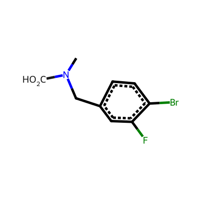 CN(Cc1ccc(Br)c(F)c1)C(=O)O